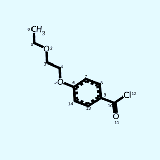 CCOCCOc1ccc(C(=O)Cl)cc1